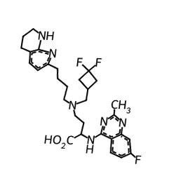 Cc1nc(NC(CCN(CCCCc2ccc3c(n2)NCCC3)CC2CC(F)(F)C2)C(=O)O)c2ccc(F)cc2n1